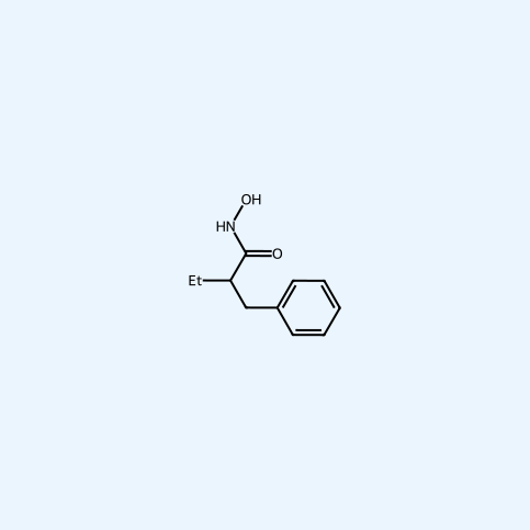 CCC(Cc1ccccc1)C(=O)NO